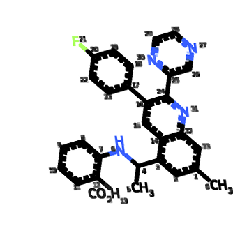 Cc1cc(C(C)Nc2ccccc2C(=O)O)c2cc(-c3ccc(F)cc3)c(-c3cnccn3)nc2c1